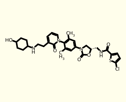 Cc1cc(N2C[C@H](CNC(=O)c3ccc(Cl)s3)OC2=O)cc(C)c1-n1cccc(CCNC2CCC(O)CC2)c1=O